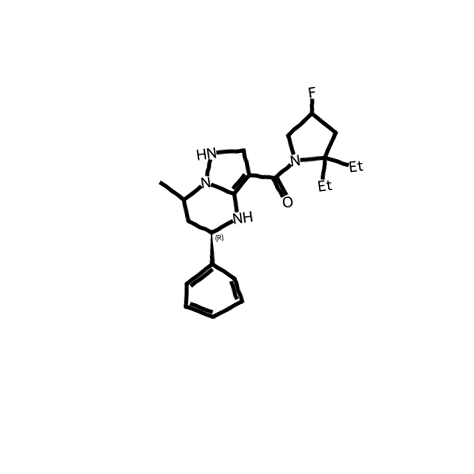 CCC1(CC)CC(F)CN1C(=O)C1=C2N[C@@H](c3ccccc3)CC(C)N2NC1